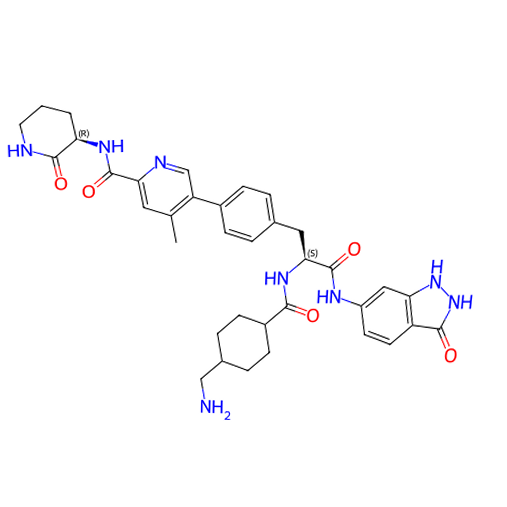 Cc1cc(C(=O)N[C@@H]2CCCNC2=O)ncc1-c1ccc(C[C@H](NC(=O)C2CCC(CN)CC2)C(=O)Nc2ccc3c(=O)[nH][nH]c3c2)cc1